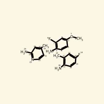 COc1ccc(N)c(F)c1.Cc1cc(F)ccc1N.Cc1ccnc(N)c1